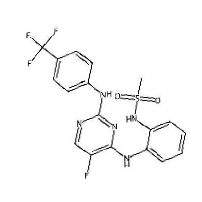 CS(=O)(=O)Nc1ccccc1Nc1nc(Nc2ccc(C(F)(F)F)cc2)ncc1F